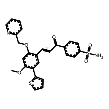 COc1cc(OCc2ccccn2)c(/C=C/C(=O)c2ccc(S(N)(=O)=O)cc2)cc1-c1cccs1